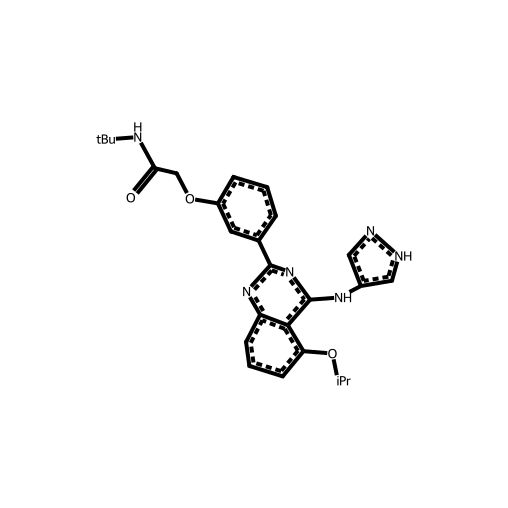 CC(C)Oc1cccc2nc(-c3cccc(OCC(=O)NC(C)(C)C)c3)nc(Nc3cn[nH]c3)c12